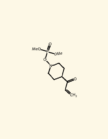 C=CC(=O)C1CCN(OP(=O)(OC)OC)CC1